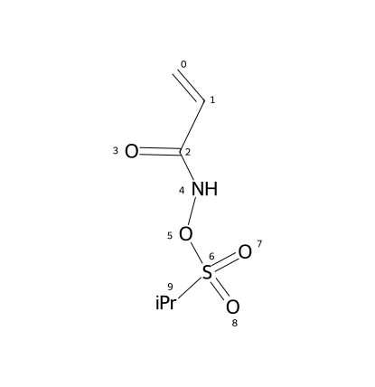 C=CC(=O)NOS(=O)(=O)C(C)C